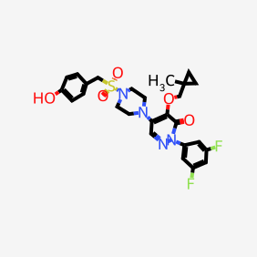 CC1(COc2c(N3CCN(S(=O)(=O)Cc4ccc(O)cc4)CC3)cnn(-c3cc(F)cc(F)c3)c2=O)CC1